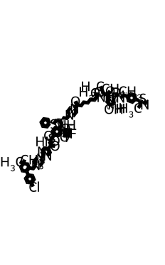 Cc1ncsc1-c1ccc([C@H](C)NC(=O)[C@@H]2C[C@@H](O)CN2C(=O)[C@@H](NC(=O)CCCCCC(=O)N2CCN(CC[C@H](CSc3ccccc3)Nc3ccc(S(=O)(=O)NC(=O)c4cnc(N5CCN(CC6=C(c7ccc(Cl)cc7)CCC(C)(C)C6)CC5)nc4)cc3S(=O)(=O)C(F)(F)F)CC2)C(C)(C)C)cc1